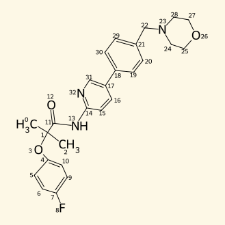 CC(C)(Oc1ccc(F)cc1)C(=O)Nc1ccc(-c2ccc(CN3CCOCC3)cc2)cn1